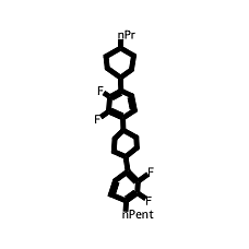 CCCCCc1ccc(C2CCC(c3ccc(C4CCC(CCC)CC4)c(F)c3F)CC2)c(F)c1F